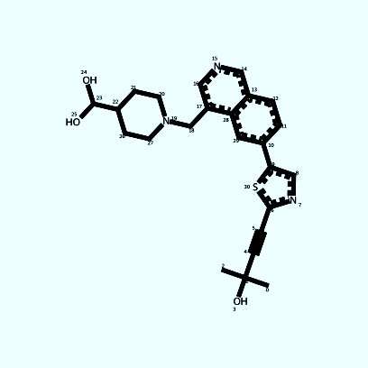 CC(C)(O)C#Cc1ncc(-c2ccc3cncc(CN4CCC(C(O)O)CC4)c3c2)s1